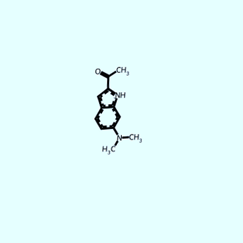 CC(=O)c1cc2ccc(N(C)C)cc2[nH]1